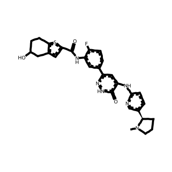 CN1CCC[C@@H]1c1ccc(Nc2cc(-c3ccc(F)c(NC(=O)c4cc5c(s4)CCC(O)C5)c3)n[nH]c2=O)nc1